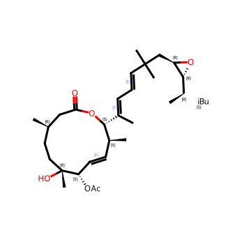 CC[C@H](C)[C@@H](C)[C@H]1O[C@@H]1CC(C)(C)/C=C/C=C(\C)[C@H]1OC(=O)C[C@H](C)CC[C@@](C)(O)[C@@H](OC(C)=O)/C=C/[C@@H]1C